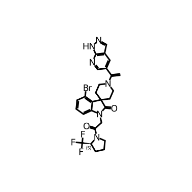 C=C(c1cnc2[nH]ncc2c1)N1CCC2(CC1)C(=O)N(CC(=O)N1CCC[C@H]1C(F)(F)F)c1cccc(Br)c12